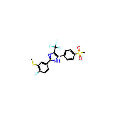 CSc1cc(-c2nc(C(F)(F)F)c(-c3ccc(S(C)(=O)=O)cc3)[nH]2)ccc1F